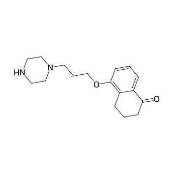 O=C1CCCc2c(OCCCN3CCNCC3)cccc21